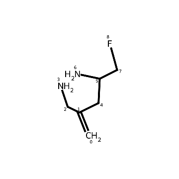 C=C(CN)CC(N)CF